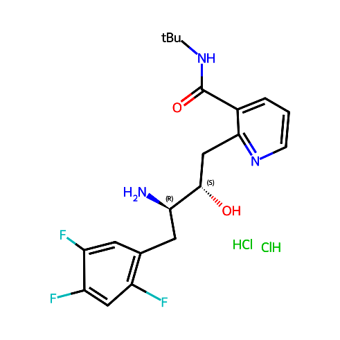 CC(C)(C)NC(=O)c1cccnc1C[C@H](O)[C@H](N)Cc1cc(F)c(F)cc1F.Cl.Cl